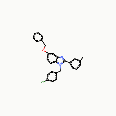 Cc1cccc(-c2nc3cc(OCc4ccccc4)ccc3n2Cc2ccc(Cl)cc2)c1